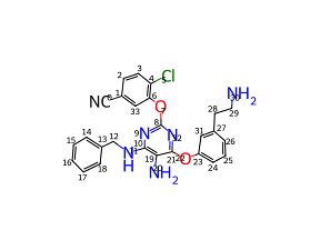 N#Cc1ccc(Cl)c(Oc2nc(NCc3ccccc3)c(N)c(Oc3cccc(CCN)c3)n2)c1